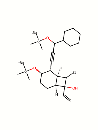 C=CC1(O)C(CC)[C@@H]2[C@@H](C#C[C@@H](O[Si](C)(C)C(C)(C)C)C3CCCCC3)[C@H](O[Si](C)(C)C(C)(C)C)CC[C@@H]21